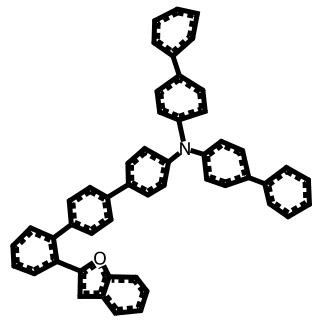 c1ccc(-c2ccc(N(c3ccc(-c4ccccc4)cc3)c3ccc(-c4ccc(-c5ccccc5-c5cc6ccccc6o5)cc4)cc3)cc2)cc1